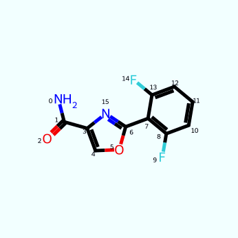 NC(=O)c1coc(-c2c(F)cccc2F)n1